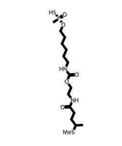 CSC(C)CCC(=O)NCCOC(=O)NCCCCCCOP(C)(=O)S